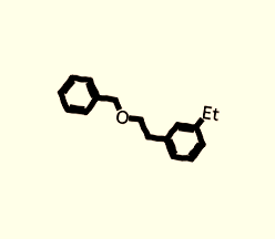 CCc1cccc(CCOCc2ccccc2)c1